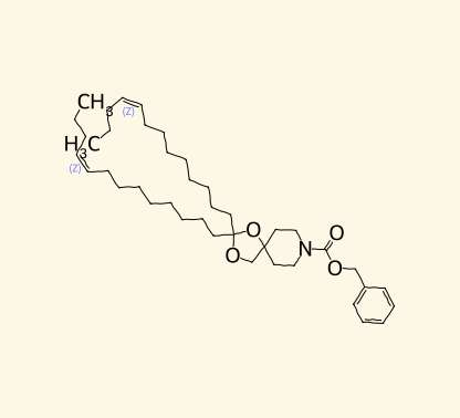 CCC/C=C\CCCCCCCCC1(CCCCCCCC/C=C\CCC)OCC2(CCN(C(=O)OCc3ccccc3)CC2)O1